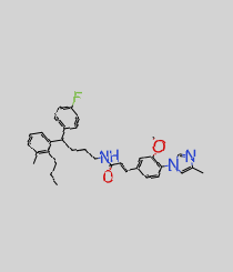 CCCc1c(C)cccc1C(CCCNC(=O)/C=C/c1ccc(-n2cnc(C)c2)c(OC)c1)c1ccc(F)cc1